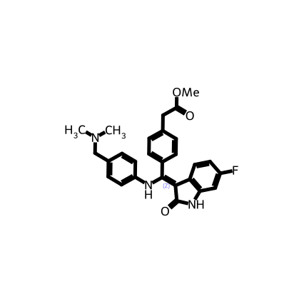 COC(=O)Cc1ccc(/C(Nc2ccc(CN(C)C)cc2)=C2/C(=O)Nc3cc(F)ccc32)cc1